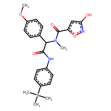 COc1ccc(C(C(=O)Nc2ccc([Si](C)(C)C)cc2)N(C)C(=O)c2cc(O)no2)cc1